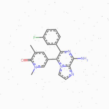 Cc1cc(-c2c(-c3cccc(F)c3)nc(N)c3nccn23)cn(C)c1=O